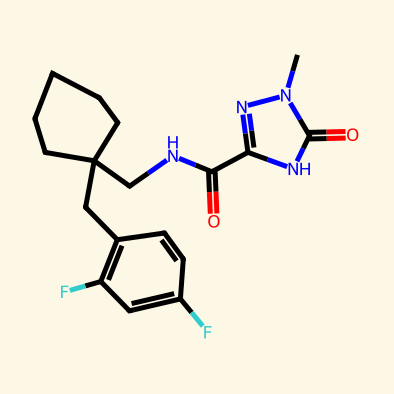 Cn1nc(C(=O)NCC2(Cc3ccc(F)cc3F)CCCCC2)[nH]c1=O